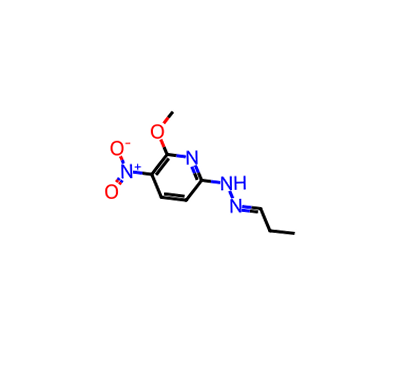 CCC=NNc1ccc([N+](=O)[O-])c(OC)n1